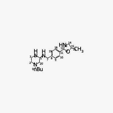 CCCCN1CCNC(NCc2ccc(C3NCC(C)O3)cc2)C1